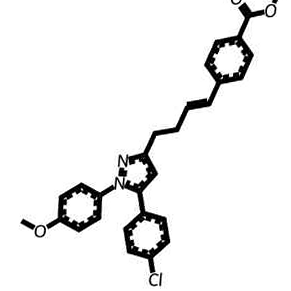 COC(=O)c1ccc(/C=C/CCc2cc(-c3ccc(Cl)cc3)n(-c3ccc(OC)cc3)n2)cc1